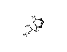 Bc1cccc(NC(C)=N)c1